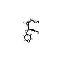 CC#CC(OC1CCOCC1)C1CC1CO